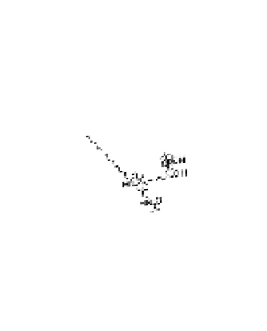 CCCCCCCCCCCCCCCC(=O)N[C@@H](CCCCNC(=O)C(C)C)C(=O)NCCCCC(CO)COP(=O)(O)OC(C)C